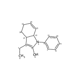 CCC1=C(O)N(c2ccccc2)C2C=CCCC12